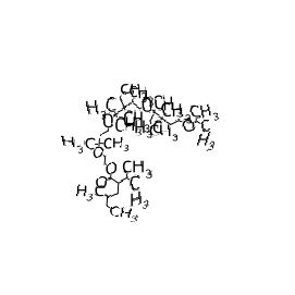 CCC(C)CC(C(=O)OCCOC(C)(C)CCOC(C)(C)C(C)(CC)C(C)COC(C)(CC)C(C)(C)CCOC(C)C)C(C)C